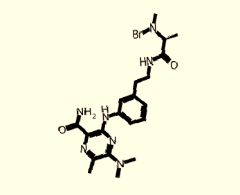 Cc1nc(C(N)=O)c(Nc2cccc(CCNC(=O)[C@H](C)N(C)Br)c2)nc1N(C)C